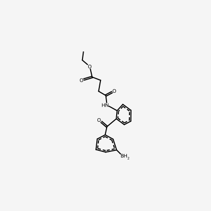 Bc1cccc(C(=O)c2ccccc2NC(=O)CCC(=O)OCC)c1